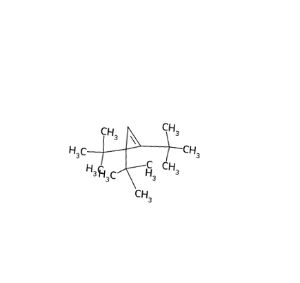 CC(C)(C)C1=CC1(C(C)(C)C)C(C)(C)C